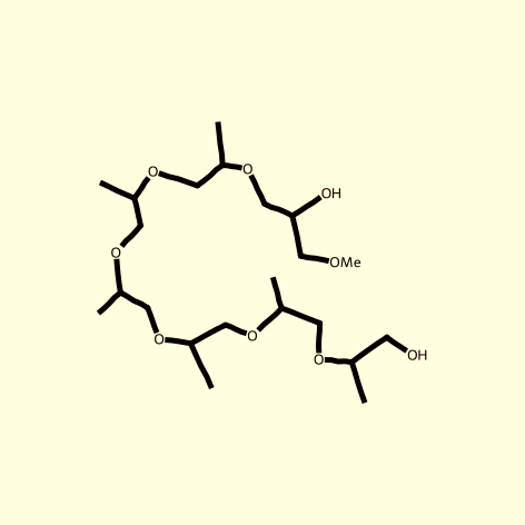 COCC(O)COC(C)COC(C)COC(C)COC(C)COC(C)COC(C)CO